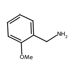 COc1cc[c]cc1CN